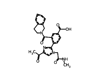 CNC(=O)Cn1cc(C(C)=O)nc1-c1ccc(C(=O)O)cc1C(=O)N1CCc2ccccc2C1